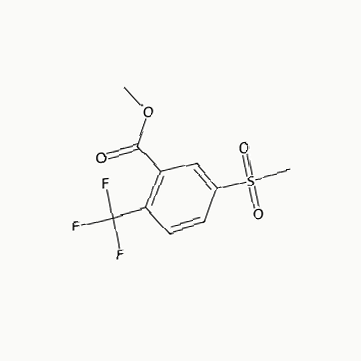 COC(=O)c1cc(S(C)(=O)=O)ccc1C(F)(F)F